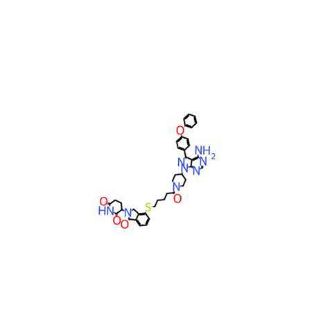 Nc1ncnc2c1c(-c1ccc(Oc3ccccc3)cc1)nn2C1CCN(C(=O)CCCCSc2cccc3c2CN(C2CCC(=O)NC2=O)C3=O)CC1